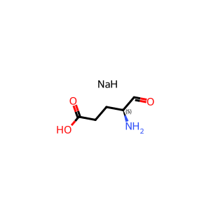 N[C@H](C=O)CCC(=O)O.[NaH]